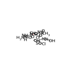 CN(C)C(CCCNC(=N)N)C(=O)O.CN1C(=O)CN=C(c2ccccc2)c2cc(Cl)ccc21.OCCN1CCN(CCCN2c3ccccc3Sc3ccc(Cl)cc32)CC1